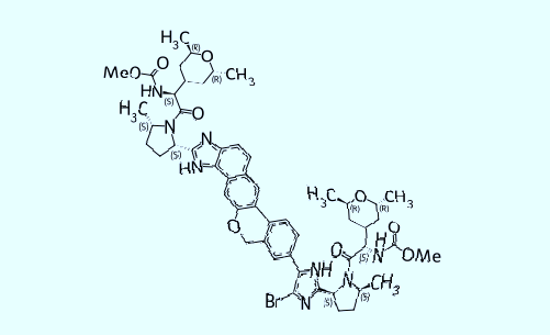 COC(=O)N[C@H](C(=O)N1[C@@H](C)CC[C@H]1c1nc(Br)c(-c2ccc3c(c2)COc2cc4c(ccc5nc([C@@H]6CC[C@H](C)N6C(=O)[C@@H](NC(=O)OC)C6C[C@@H](C)O[C@H](C)C6)[nH]c54)cc2-3)[nH]1)C1C[C@@H](C)O[C@H](C)C1